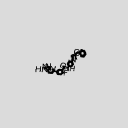 O=C(Nc1ccc(N2CC(Oc3ccccc3)C2)cc1)c1cc(-c2ccc3[nH]nnc3n2)ccc1F